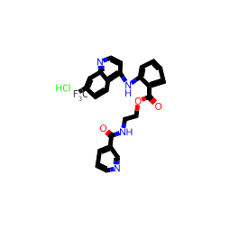 Cl.O=C(NCCOC(=O)c1ccccc1Nc1ccnc2cc(C(F)(F)F)ccc12)c1cccnc1